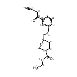 CCOC(=O)N1CCC(COc2cccc(C(=O)CC#N)n2)CC1